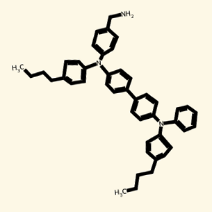 CCCCc1ccc(N(c2ccccc2)c2ccc(-c3ccc(N(c4ccc(CN)cc4)c4ccc(CCCC)cc4)cc3)cc2)cc1